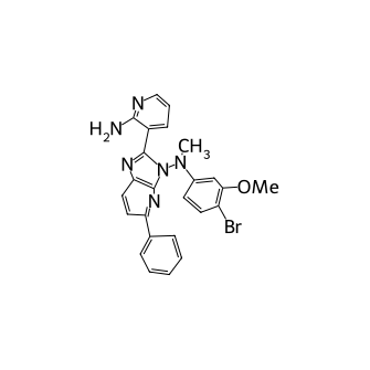 COc1cc(N(C)n2c(-c3cccnc3N)nc3ccc(-c4ccccc4)nc32)ccc1Br